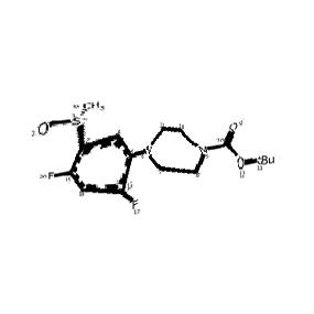 C[S@@+]([O-])c1cc(N2CCN(C(=O)OC(C)(C)C)CC2)c(F)cc1F